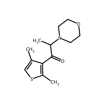 Cc1csc(C)c1C(=O)C(C)N1CCOCC1